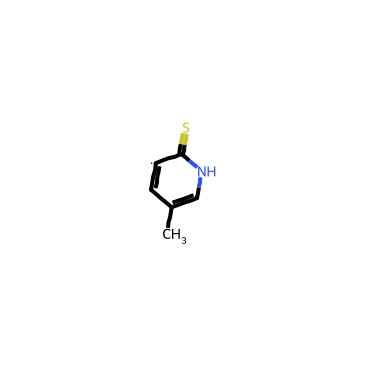 Cc1c[c]c(=S)[nH]c1